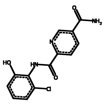 NC(=O)c1ccc(C(=O)Nc2c(O)cccc2Cl)nc1